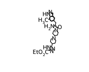 CCOC(=O)c1nnc(C2CCN(C3CCN(C(=O)[C@H](N)Cc4cc(C)c5[nH]ncc5c4)CC3)CC2)[nH]1